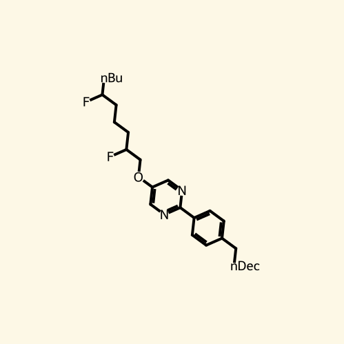 CCCCCCCCCCCc1ccc(-c2ncc(OCC(F)CCCC(F)CCCC)cn2)cc1